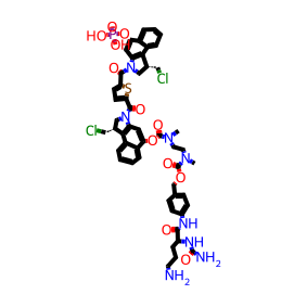 CN(CCN(C)C(=O)Oc1cc2c(c3ccccc13)[C@H](CCl)CN2C(=O)c1ccc(C(=O)N2C[C@@H](CCl)c3c2cc(OP(=O)(O)O)c2ccccc32)s1)C(=O)OCc1ccc(NC(=O)C(CCCN)NC(N)=O)cc1